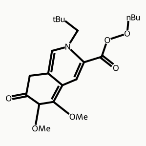 CCCCOOC(=O)C1=CC2=C(OC)C(OC)C(=O)CC2=CN1CC(C)(C)C